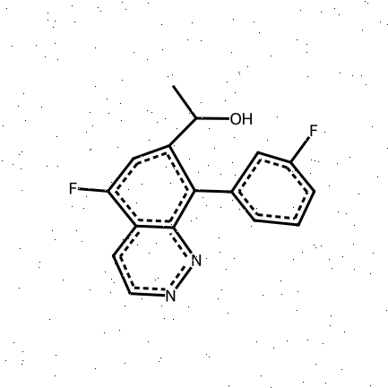 CC(O)c1cc(F)c2ccnnc2c1-c1cccc(F)c1